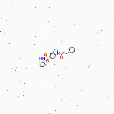 O=C(CCc1ccccc1)N1CCc2cc(S(=O)(=O)Nc3nccs3)ccc21